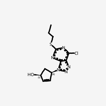 CCCSc1nc(Cl)c2nnn([C@H]3C=C[C@@H](O)C3)c2n1